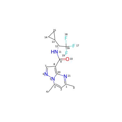 Cc1cc(C)n2ncc(C(=O)N[C@H](C3CC3)C(F)(F)F)c2n1